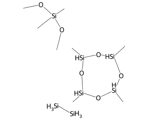 CO[Si](C)(C)OC.C[SiH]1O[SiH](C)O[SiH](C)O[SiH](C)O1.[SiH3][SiH3]